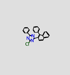 Clc1nc(-c2ccccc2)nc(-c2ccc3ccccc3c2-c2ccccc2)n1